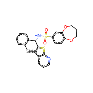 CSc1ccccc1[C@H](NS(=O)(=O)c1ccc2c(c1)OCCCO2)c1cc2cccnc2s1